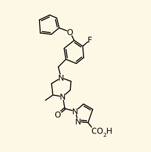 CC1CN(Cc2ccc(F)c(Oc3ccccc3)c2)CCN1C(=O)n1ccc(C(=O)O)n1